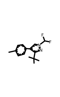 Cc1ccc(-c2cn(C(F)F)nc2C(C)(C)C)cc1